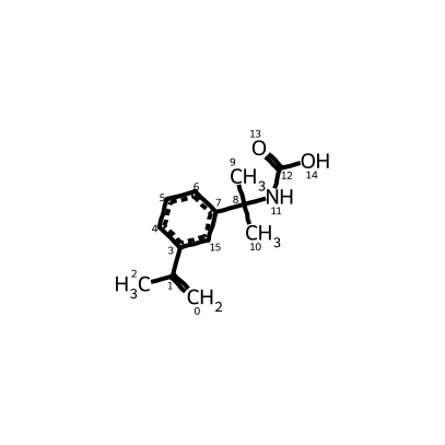 C=C(C)c1cccc(C(C)(C)NC(=O)O)c1